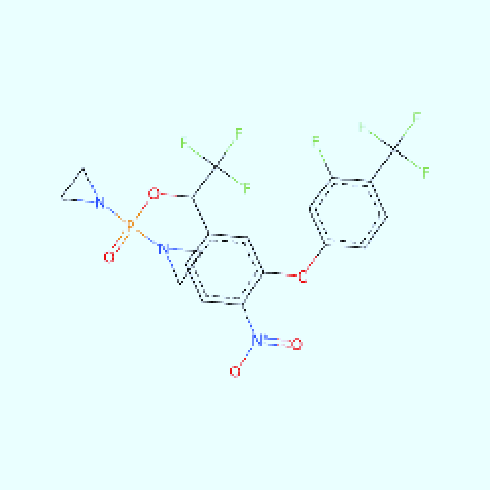 O=[N+]([O-])c1ccc(C(OP(=O)(N2CC2)N2CC2)C(F)(F)F)cc1Oc1ccc(C(F)(F)F)c(F)c1